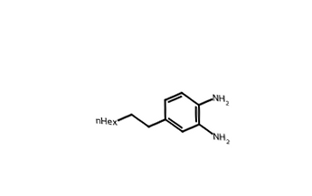 CCCCCCCCc1ccc(N)c(N)c1